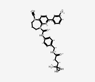 C#CN1CCCN(C(=O)Nc2ccc(CNC(=O)CCC3(C)NN3)cc2)c2nc(-c3cccc(C(F)(F)F)c3)ccc21